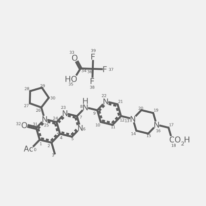 CC(=O)c1c(C)c2cnc(Nc3ccc(N4CCN(CC(=O)O)CC4)cn3)nc2n(C2CCCC2)c1=O.O=C(O)C(F)(F)F